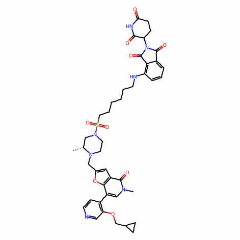 C[C@@H]1CN(S(=O)(=O)CCCCCCNc2cccc3c2C(=O)N(C2CCC(=O)NC2=O)C3=O)CCN1Cc1cc2c(=O)n(C)cc(-c3ccncc3OCC3CC3)c2o1